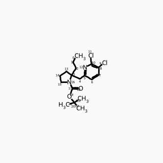 CCCC1(Cc2ccc(Cl)c(Cl)n2)CCCN1C(=O)OC(C)(C)C